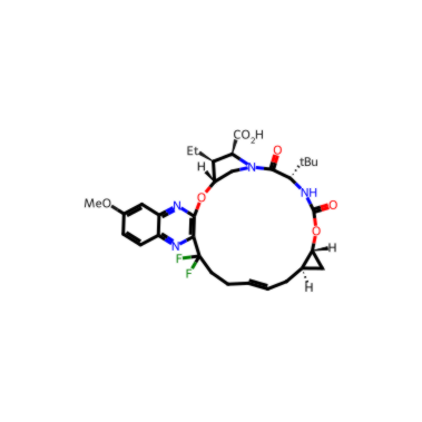 CC[C@@H]1[C@@H]2CN(C(=O)[C@H](C(C)(C)C)NC(=O)O[C@@H]3C[C@H]3C/C=C/CCC(F)(F)c3nc4ccc(OC)cc4nc3O2)[C@@H]1C(=O)O